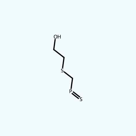 OCCSCP=S